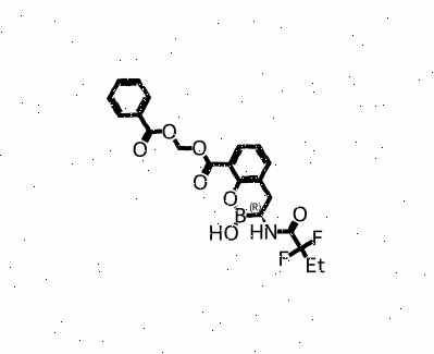 CCC(F)(F)C(=O)N[C@H]1Cc2cccc(C(=O)OCOC(=O)c3ccccc3)c2OB1O